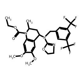 CCOC(=O)N1c2cc(OC)c(OC)cc2C(N(Cc2cc(C(F)(F)F)cc(C(F)(F)F)c2)C2=NCCO2)CC1C